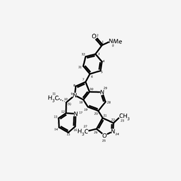 CNC(=O)c1ccc(-c2cn([C@@H](C)c3ccccn3)c3cc(-c4c(C)noc4C)cnc23)cc1